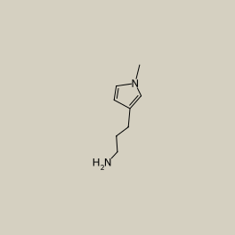 Cn1ccc(CCCN)c1